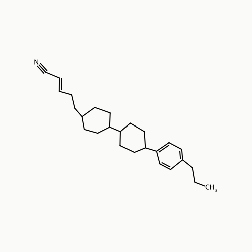 CCCc1ccc(C2CCC(C3CCC(CCC=CC#N)CC3)CC2)cc1